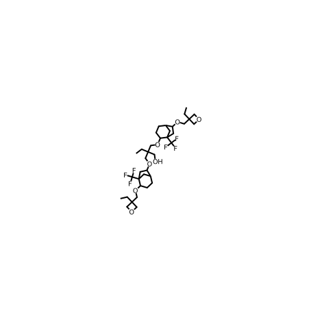 CCC1(COC2CC3(C(F)(F)F)CC2CCC3OCC(CC)(CO)COC2CC3(C(F)(F)F)CC2CCC3OCC2(CC)COC2)COC1